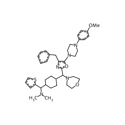 COc1ccc(N2CCN(c3oc(C(C4CCC(C(c5cccs5)N(C)C)CC4)N4CCOCC4)nc3Cc3ccccc3)CC2)cc1